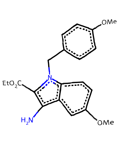 CCOC(=O)c1c(N)c2cc(OC)ccc2n1Cc1ccc(OC)cc1